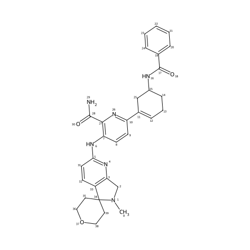 CN1Cc2nc(Nc3ccc(C4=CCCC(NC(=O)c5ccccc5)C4)nc3C(N)=O)ccc2C12CCOCC2